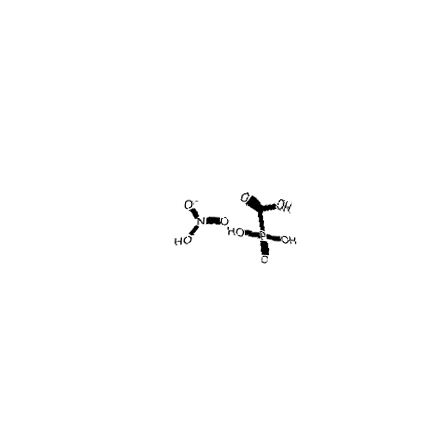 O=C(O)P(=O)(O)O.O=[N+]([O-])O